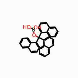 OB(O)OC(c1cccc2ccccc12)(c1cccc2ccccc12)c1cccc2ccccc12